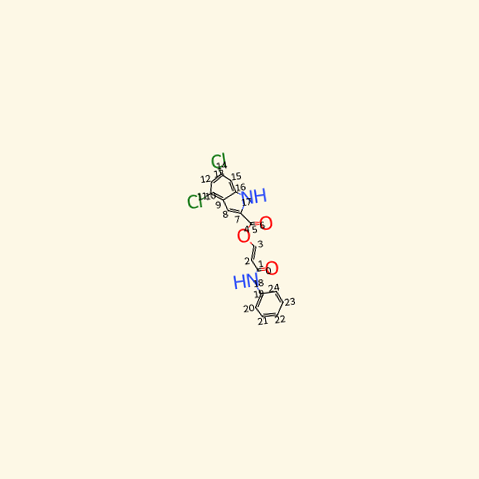 O=C(C=COC(=O)c1cc2c(Cl)cc(Cl)cc2[nH]1)Nc1ccccc1